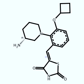 N[C@@H]1CCCN(c2c(/C=C3\SC(=O)NC3=O)cccc2OC2CCC2)C1